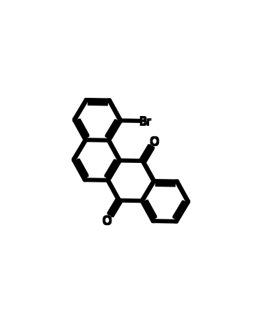 O=C1c2ccccc2C(=O)c2c1ccc1cccc(Br)c21